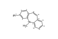 CC(C)c1ccc2c(c1)N(C)c1ccccc1C=C2